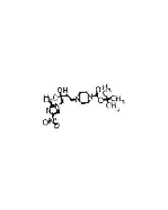 CC(O)(CCN1CCN(C(=O)OC(C)(C)C)CC1)Cn1cc([N+](=O)[O-])nc1Cl